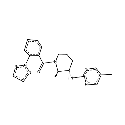 Cc1cnc(N[C@H]2CCCN(C(=O)c3ccccc3-n3nccn3)[C@@H]2C)nc1